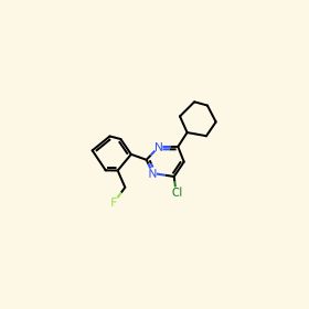 FCc1ccccc1-c1nc(Cl)cc(C2CCCCC2)n1